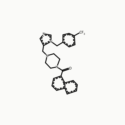 O=C(c1cccc2ccccc12)N1CCN(Cc2cncn2Cc2ccc(C(F)(F)F)cc2)CC1